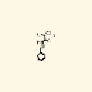 CC(Cl)C(=O)NOCc1ccccc1